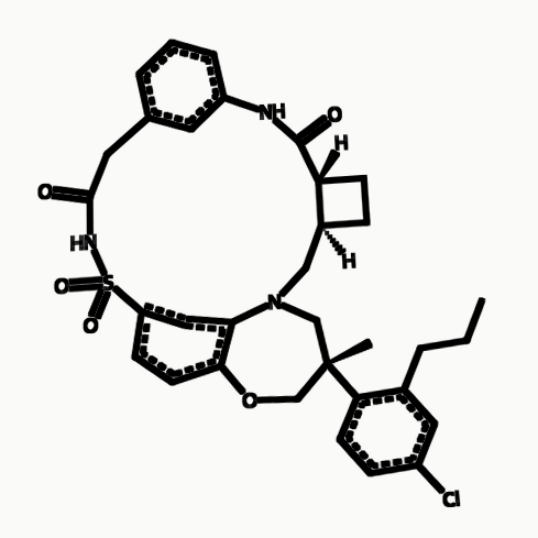 CCCc1cc(Cl)ccc1[C@]1(C)COc2ccc3cc2N(C[C@@H]2CC[C@H]2C(=O)Nc2cccc(c2)CC(=O)NS3(=O)=O)C1